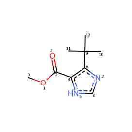 COC(=O)c1[nH]cnc1C(C)(C)C